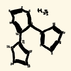 S.c1ccc(-c2ccccc2-c2cccs2)cc1